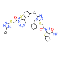 Cn1c(SCC(=O)Nc2sc3c(c2CN)CC(C2CC2c2nnc(SCC(=O)Nc4sc5c(c4C(N)=O)CCC5)n2Cc2ccccc2)CC3)nnc1C1CC1